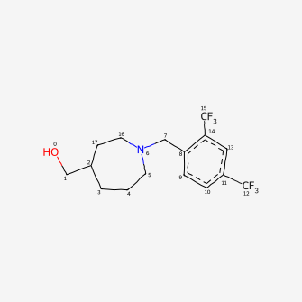 OCC1CCCN(Cc2ccc(C(F)(F)F)cc2C(F)(F)F)CC1